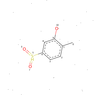 Cc1ccc([SH](=O)=O)cc1[O]